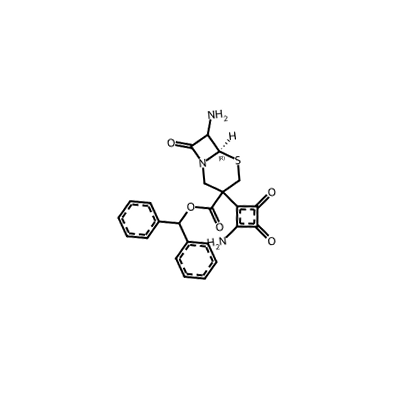 Nc1c(C2(C(=O)OC(c3ccccc3)c3ccccc3)CS[C@@H]3C(N)C(=O)N3C2)c(=O)c1=O